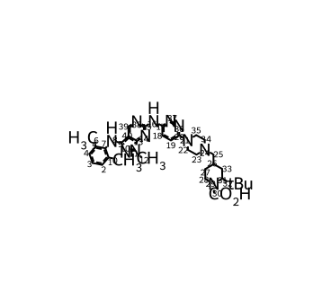 Cc1cccc(C)c1Nc1nn(C)c2nc(Nc3ccc(N4CCN(CC5CCN(C(=O)O)C(C(C)(C)C)C5)CC4)nn3)ncc12